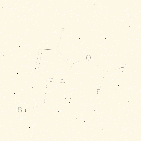 CCC(C)Cc1ccc(F)c(OC(F)F)c1